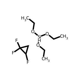 CCO[SiH](OCC)OCC.FC1CC1(F)F